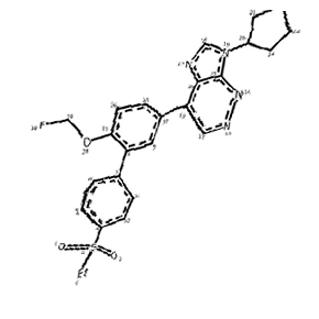 CCS(=O)(=O)c1ccc(-c2cc(-c3cnnc4c3ncn4C3CCCC3)ccc2OCF)cc1